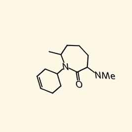 CNC1CCCC(C)N(C2CC=CCC2)C1=O